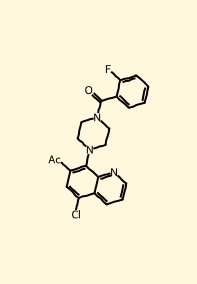 CC(=O)c1cc(Cl)c2cccnc2c1N1CCN(C(=O)c2ccccc2F)CC1